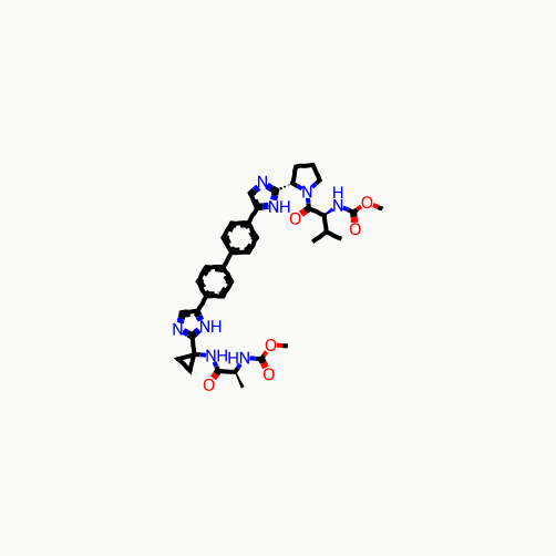 COC(=O)N[C@@H](C)C(=O)NC1(c2ncc(-c3ccc(-c4ccc(-c5cnc([C@@H]6CCCN6C(=O)[C@@H](NC(=O)OC)C(C)C)[nH]5)cc4)cc3)[nH]2)CC1